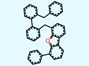 c1ccc(Cc2ccccc2-c2ccccc2Cc2cccc3c2oc2c(-c4ccccc4)cccc23)cc1